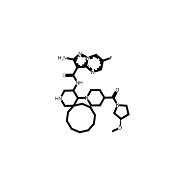 CO[C@@H]1CCN(C(=O)C2CCN(C3C(NC(=O)c4c(N)nn5cc(F)cnc45)CNCC34CCCCCCCCC4)CC2)C1